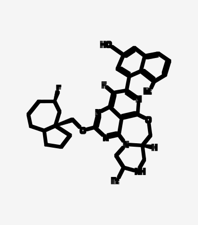 CCc1cccc2cc(O)cc(-c3nc4c5c(nc(OC[C@@]67CCCC6CCC[C@@H](F)C7)nc5c3F)N3CC(CC)NC[C@H]3CO4)c12